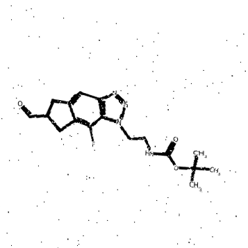 CC(C)(C)OC(=O)NCCn1nnc2cc3c(c(F)c21)CC(C=O)C3